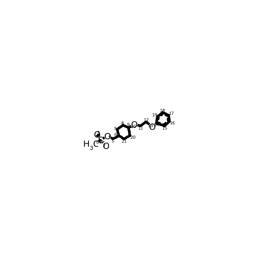 CS(=O)(=O)OCC1CCC(OCCOc2ccccc2)CC1